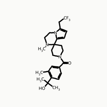 Cc1cc(C(=O)N2CCC3(CC2)c2ccc(CC(F)(F)F)n2CCN3C)ccc1C(C)(C)O